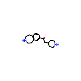 O=C(CC1CCNCC1)c1ccc2c(c1)CCNCC2